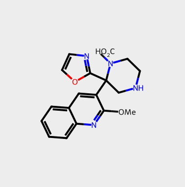 COc1nc2ccccc2cc1C1(c2ncco2)CNCCN1C(=O)O